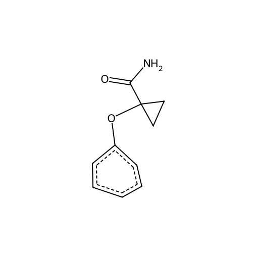 NC(=O)C1(Oc2ccccc2)CC1